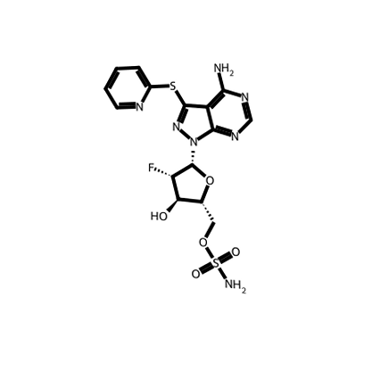 Nc1ncnc2c1c(Sc1ccccn1)nn2[C@@H]1O[C@H](COS(N)(=O)=O)[C@@H](O)[C@@H]1F